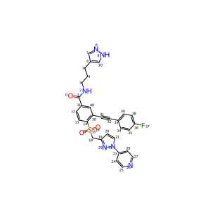 O=C(NCCCc1cn[nH]c1)c1ccc(S(=O)(=O)Cc2ccn(-c3ccncc3)n2)c(C#Cc2ccc(F)cc2)c1